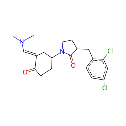 CN(C)C=C1CC(N2CCC(Cc3ccc(Cl)cc3Cl)C2=O)CCC1=O